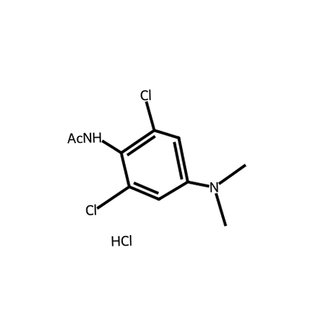 CC(=O)Nc1c(Cl)cc(N(C)C)cc1Cl.Cl